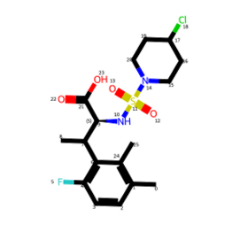 Cc1ccc(F)c(C(C)[C@H](NS(=O)(=O)N2CCC(Cl)CC2)C(=O)O)c1C